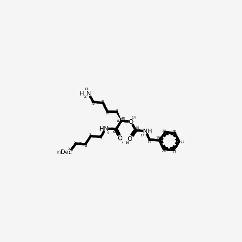 CCCCCCCCCCCCCCNC(=O)[C@@H](CCCCN)OC(=O)NCc1ccccc1